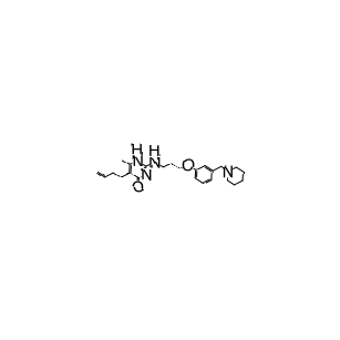 C=CCCc1c(C)[nH]c(NCCCOc2cccc(CN3CCCCC3)c2)nc1=O